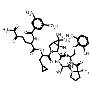 CCCC(NC(=O)[C@@H]1[C@@H]2C(CN1C(=O)C(CC1CC1)NC(=O)C(CCC(=O)C(N)=O)NC(=O)c1cc(C(=O)O)cc([N+](=O)[O-])c1)C2(C)C)C(=O)N1CCC[C@@]1(C)C(=O)NC(C)COc1c(C)cccc1C